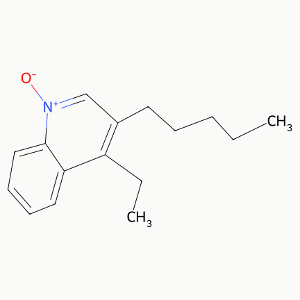 CCCCCc1c[n+]([O-])c2ccccc2c1CC